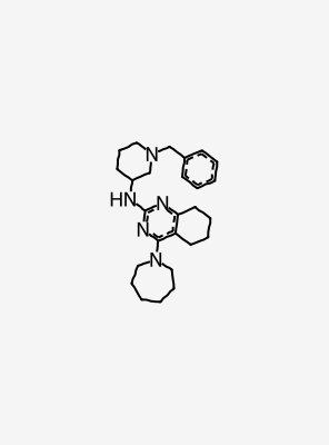 c1ccc(CN2CCCC(Nc3nc4c(c(N5CCCCCC5)n3)CCCC4)C2)cc1